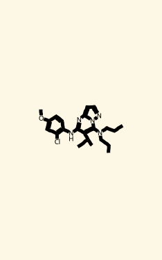 CCCN(CCC)c1c(C(C)C)c(Nc2ccc(OC)cc2Cl)nc2ccnn12